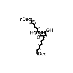 CCCCCCCCCCCCCCCCC(CCO)C(=O)NC(O)CCCCCCCCCCCCCCC